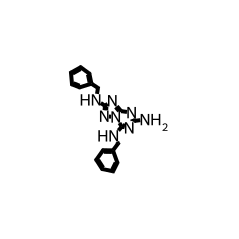 Nc1nc(NCc2ccccc2)n2nc(NCc3ccccc3)nc2n1